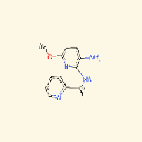 CC(C)Oc1ccc(N)c(N[C@@H](C)c2ccccn2)n1